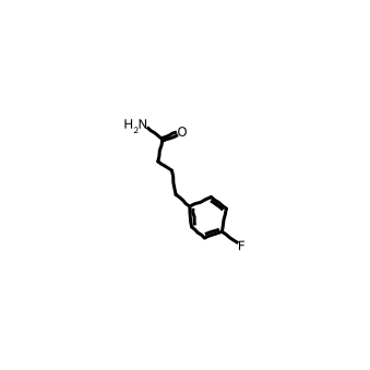 NC(=O)CCCc1ccc(F)cc1